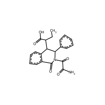 CCC(C(=O)O)C1c2ccccc2C(=O)N(C(=O)C(N)=O)C1c1ccccc1